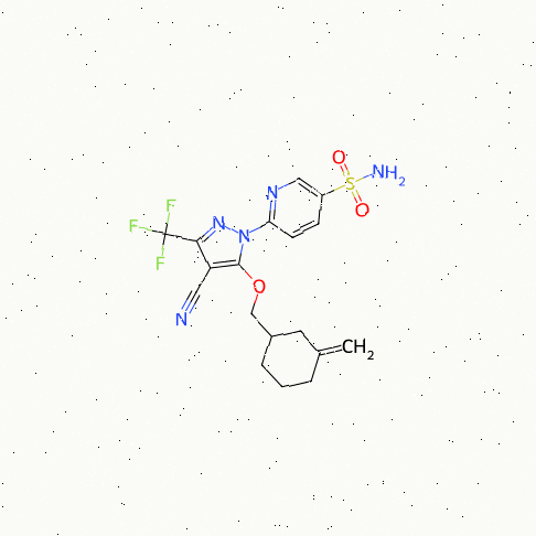 C=C1CCCC(COc2c(C#N)c(C(F)(F)F)nn2-c2ccc(S(N)(=O)=O)cn2)C1